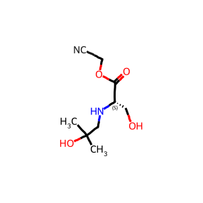 CC(C)(O)CN[C@@H](CO)C(=O)OCC#N